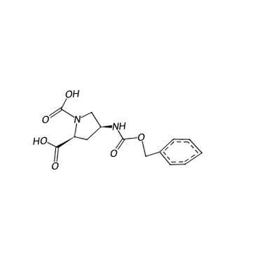 O=C(N[C@H]1C[C@@H](C(=O)O)N(C(=O)O)C1)OCc1ccccc1